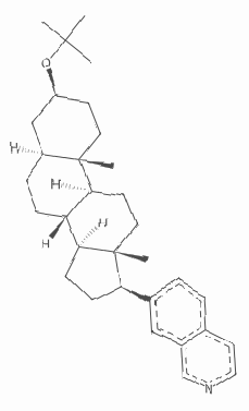 CC(C)(C)O[C@H]1CC[C@@]2(C)[C@@H](CC[C@@H]3[C@@H]2CC[C@]2(C)[C@@H](c4ccc5ccncc5c4)CC[C@@H]32)C1